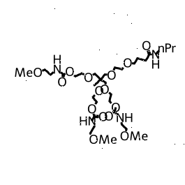 CCCNC(=O)CCCOCCOCC(COCCOC(=O)NCCOC)(COCCOC(=O)NCCOC)COCCOC(=O)NCCOC